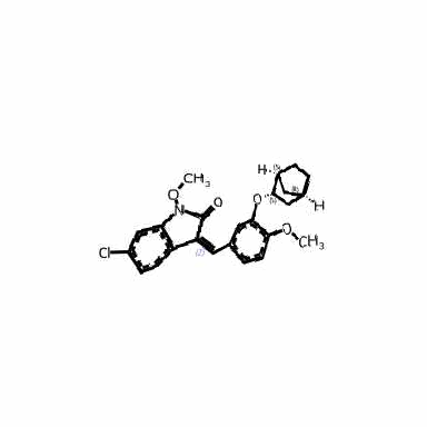 COc1ccc(/C=C2\C(=O)N(OC)c3cc(Cl)ccc32)cc1O[C@H]1C[C@@H]2CC[C@H]1C2